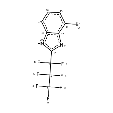 FC(F)(F)C(F)(F)C(F)(F)c1nc2c(Br)cccc2[nH]1